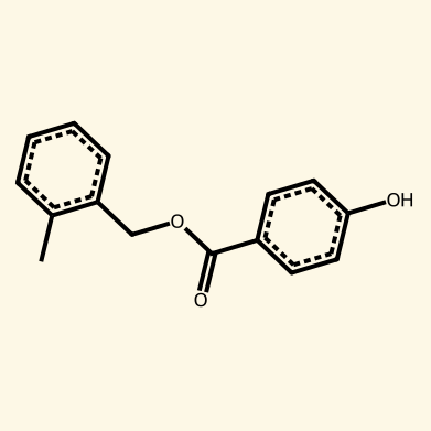 Cc1ccccc1COC(=O)c1ccc(O)cc1